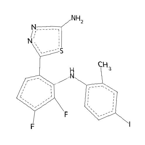 Cc1cc(I)ccc1Nc1c(-c2nnc(N)s2)ccc(F)c1F